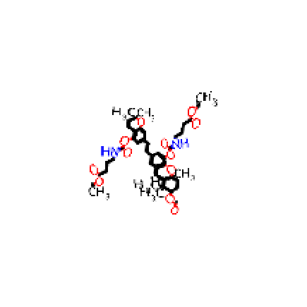 CCOC(=O)CCCNC(=O)Oc1cc(/C=C/c2cc3c(c(OC(=O)NCCCC(=O)OCC)c2)O[C@]2(C)CC[C@@H](OC=O)C(C)(C)[C@H]2C3)cc2c1CCC(C)(C)O2